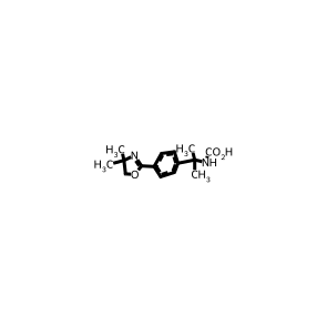 CC1(C)COC(c2ccc(C(C)(C)NC(=O)O)cc2)=N1